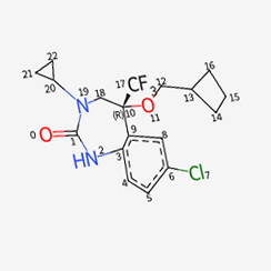 O=C1Nc2ccc(Cl)cc2[C@](OCC2CCC2)(C(F)(F)F)CN1C1CC1